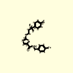 O=C(NCc1ccc(F)cc1)c1cnc(SCCC(F)(F)c2ccc(F)cc2)s1